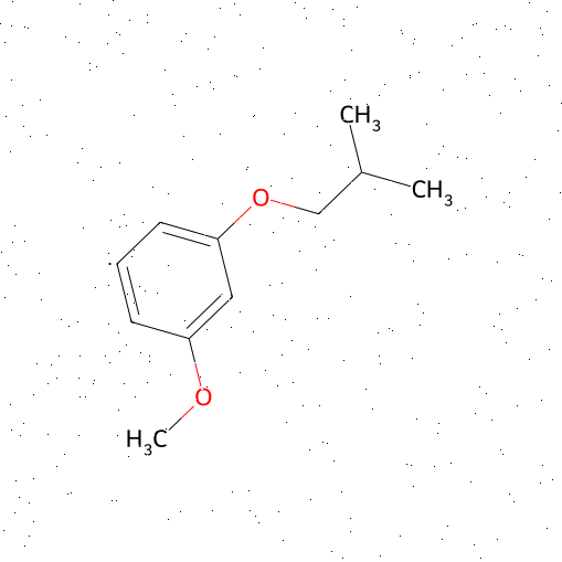 COc1c[c]cc(OCC(C)C)c1